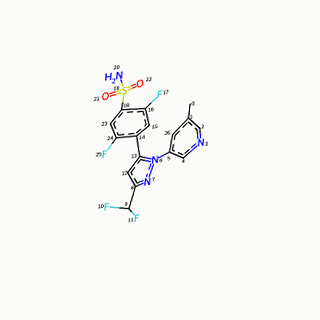 Cc1cncc(-n2nc(C(F)F)cc2-c2cc(F)c(S(N)(=O)=O)cc2F)c1